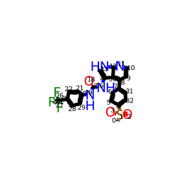 CS(=O)(=O)c1ccc(-c2ccnc3[nH]cc(NC(=O)Nc4ccc(C(F)(F)F)cc4)c23)cc1